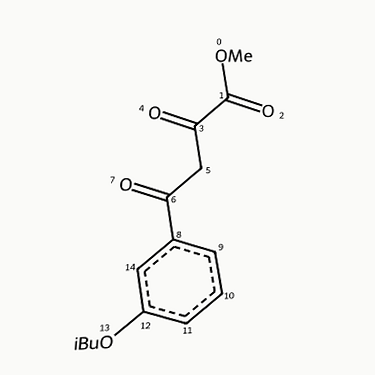 COC(=O)C(=O)CC(=O)c1cccc(OCC(C)C)c1